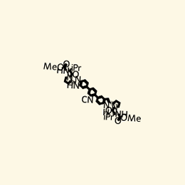 COC(=O)N[C@H](C(=O)N1CCC[C@H]1c1cc2cc(-c3ccc(-c4ccc5nc([C@@H]6CCCN6C(=O)[C@@H](NC(=O)OC)C(C)C)[nH]c5c4)cc3C#N)ccc2[nH]1)C(C)C